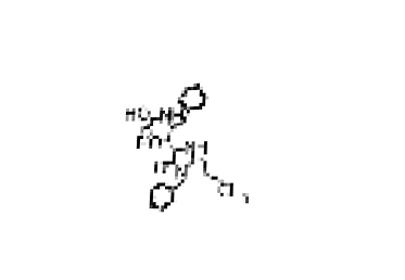 CCCC[C@H]1N[C@@H](C(O)C(Cc2ccccc2)NC(=O)O)C(=O)N1Cc1ccccc1